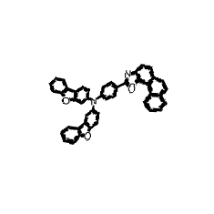 c1ccc2c(c1)ccc1ccc3nc(-c4ccc(N(c5ccc6c(c5)oc5ccccc56)c5ccc6oc7ccccc7c6c5)cc4)oc3c12